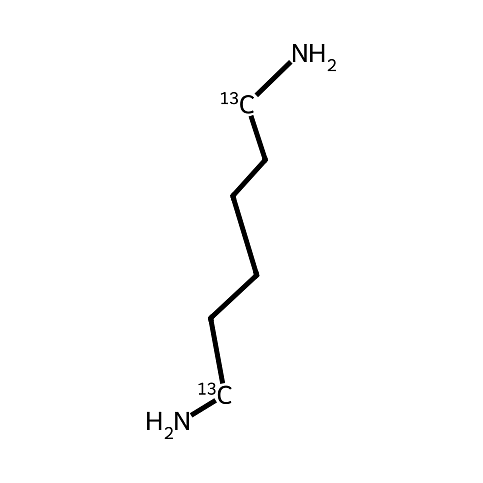 N[13CH2]CCCC[13CH2]N